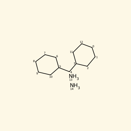 C1CCC(CC2CCCCC2)CC1.N.N